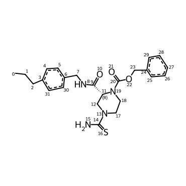 CCCc1ccc(CNC(=O)[C@H]2CN(C(N)=S)CCN2C(=O)OCc2ccccc2)cc1